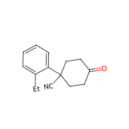 CCc1ccccc1C1(C#N)CCC(=O)CC1